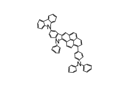 c1ccc(N(c2ccccc2)c2ccc(-c3ccc4ccc5cc6c7cc(-n8c9ccccc9c9ccccc98)ccc7n(-c7ccccc7)c6c6ccc3c4c56)cc2)cc1